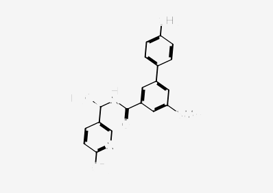 CSc1cc(C(=O)N[C@H](C)c2ccc(C(F)(F)F)nc2)cc(-c2ccc(C)cc2)c1